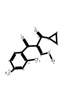 CCOC=C(C(=O)c1ccc(C(F)(F)F)cc1C(F)(F)F)C(=O)C1CC1